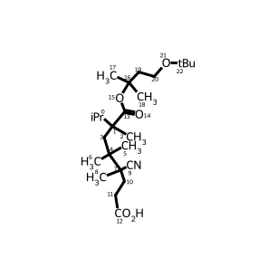 CC(C)C(C)(CC(C)(C)C(C)(C#N)CCC(=O)O)C(=O)OC(C)(C)CCOC(C)(C)C